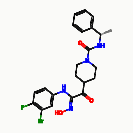 C[C@H](NC(=O)N1CCC(C(=O)/C(=N/O)Nc2ccc(F)c(Br)c2)CC1)c1ccccc1